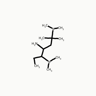 CCC(C(N)CC(C)(C)N(C)C)N(C)C